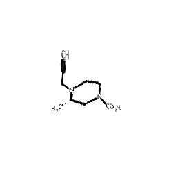 C#CCN1CCN(C(=O)O)C[C@@H]1C